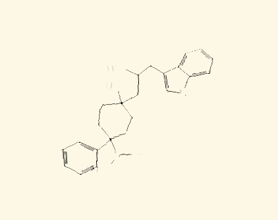 CC(Cc1c[nH]c2ccccc12)CC1(O)CCC(c2ccccc2)(N(C)C)CC1